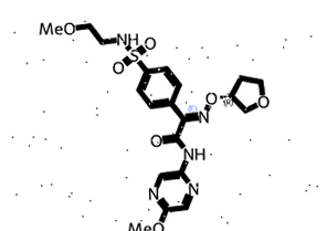 COCCNS(=O)(=O)c1ccc(/C(=N\O[C@@H]2CCOC2)C(=O)Nc2cnc(OC)cn2)cc1